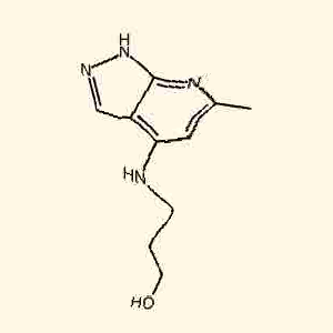 Cc1cc(NCCCO)c2cn[nH]c2n1